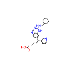 N#C/N=C(/NCC1CCCCC1)Nc1cccc(/C(=C\CCCC(=O)O)c2cccnc2)c1